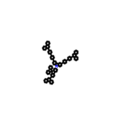 c1ccc(C2(c3ccccc3)c3cc(-c4cc5ccccc5c5ccccc45)ccc3-c3ccc(-n4c5ccc(-c6ccc(-c7ccc(-c8cc9ccccc9c9ccccc89)cc7)cc6)cc5c5cc(-c6ccc(-c7ccc(-c8cc9ccccc9c9ccccc89)cc7)cc6)ccc54)cc32)cc1